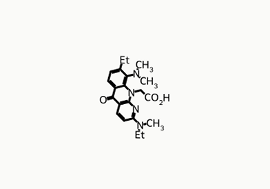 CCc1ccc2c(=O)c3ccc(N(C)CC)nc3n(CC(=O)O)c2c1N(C)C